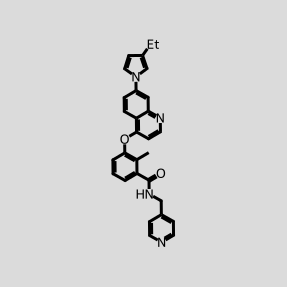 CCc1ccn(-c2ccc3c(Oc4cccc(C(=O)NCc5ccncc5)c4C)ccnc3c2)c1